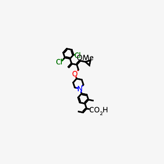 C=C(/C(COC1CCN(c2ccc(/C(=C\C)C(=O)O)c(C)c2)CC1)=C(\OC)C1CC1)c1c(Cl)cccc1Cl